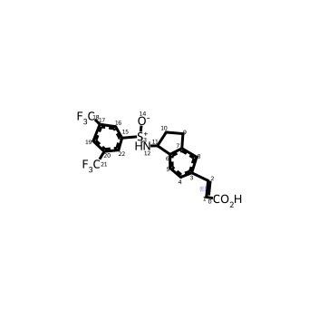 O=C(O)/C=C/c1ccc2c(c1)CCC2N[S+]([O-])c1cc(C(F)(F)F)cc(C(F)(F)F)c1